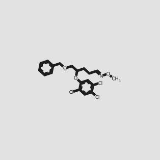 CON=CCCC(COCc1ccccc1)Oc1cc(Cl)c(Cl)cc1Cl